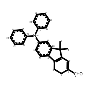 CC1(C)C2=C(CCC(C=O)=C2)c2ccc(N(c3ccccc3)c3ccccc3)cc21